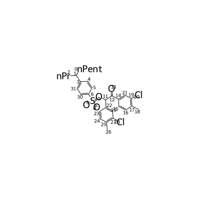 CCCCCC(CCC)c1ccc(S(=O)(=O)OC(C(=O)c2ccc(C)c(Cl)c2)c2ccc(C)c(Cl)c2)cc1